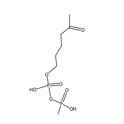 CC(=O)CCCCOP(=O)(O)OP(C)(=O)O